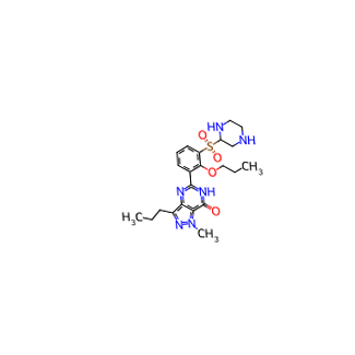 CCCOc1c(-c2nc3c(CCC)nn(C)c3c(=O)[nH]2)cccc1S(=O)(=O)C1CNCCN1